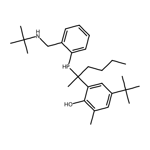 CCCCC(C)(Pc1ccccc1CNC(C)(C)C)c1cc(C(C)(C)C)cc(C)c1O